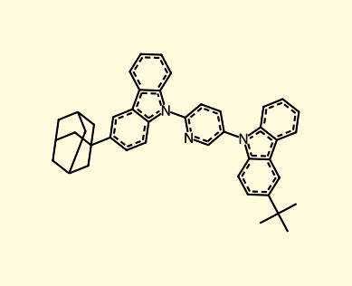 CC(C)(C)c1ccc2c(c1)c1ccccc1n2-c1ccc(-n2c3ccccc3c3cc(C45CC6CC(CC(C6)C4)C5)ccc32)nc1